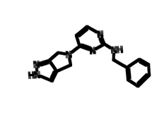 c1ccc(CNc2nccc(N3Cc4c[nH]nc4C3)n2)cc1